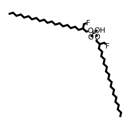 CCCCCCCCCCCCCCCCCCCC(CF)COP(=O)(O)OCC(CF)CCCCCCCCCCCCCCCCCCC